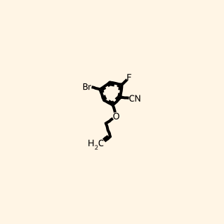 C=CCOc1cc(Br)cc(F)c1C#N